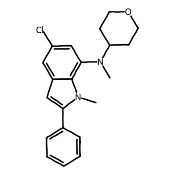 CN(c1cc(Cl)cc2cc(-c3ccccc3)n(C)c12)C1CCOCC1